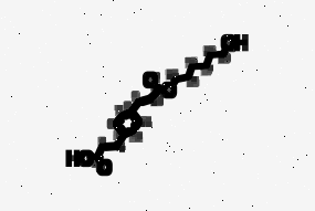 O=C(O)C=Cc1ccc(C=CC(=O)OCCCCCCO)cc1